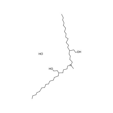 CCCCCCCCCCCCCC(CCO)CCCCN(C)CCCCC(CCO)CCCCCCCCCCCCC.Cl